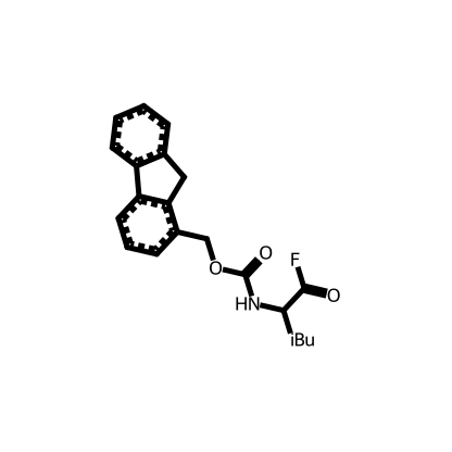 CCC(C)C(NC(=O)OCc1cccc2c1Cc1ccccc1-2)C(=O)F